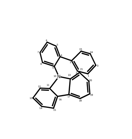 c1ccc(-c2ccccc2-n2c3ccccc3c3ccccc32)cc1